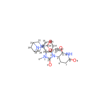 Cn1c(=O)n(C2CCC(=O)NC2=O)c2cccc(N3C4CC3CN(C(=O)OC(C)(C)C)C4)c21